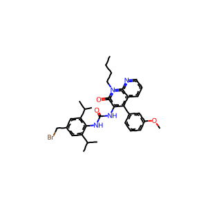 CCCCn1c(=O)c(NC(=O)Nc2c(C(C)C)cc(CBr)cc2C(C)C)c(-c2cccc(OC)c2)c2cccnc21